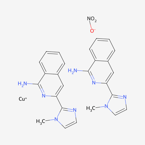 Cn1ccnc1-c1cc2ccccc2c(N)n1.Cn1ccnc1-c1cc2ccccc2c(N)n1.O=[N+]([O-])[O-].[Cu+]